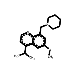 COc1cc(CN2CCCCC2)c2nccc(C(C)C)c2c1